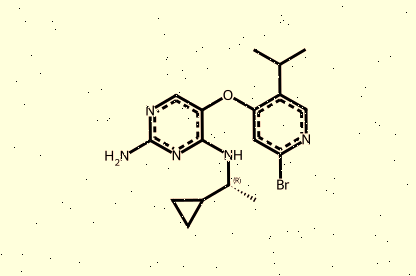 CC(C)c1cnc(Br)cc1Oc1cnc(N)nc1N[C@H](C)C1CC1